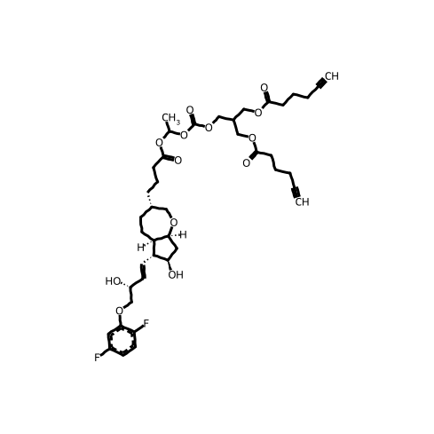 C#CCCCC(=O)OCC(COC(=O)CCCC#C)COC(=O)OC(C)OC(=O)CCC[C@H]1CC[C@@H]2[C@@H](/C=C/[C@@H](O)COc3cc(F)ccc3F)[C@H](O)C[C@@H]2OC1